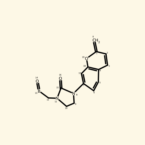 C=C1C=Cc2ccc(N3CCN(CB=O)C3=O)cc2O1